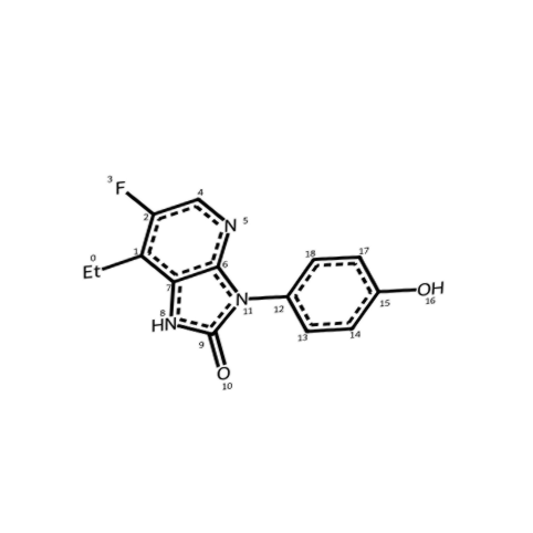 CCc1c(F)cnc2c1[nH]c(=O)n2-c1ccc(O)cc1